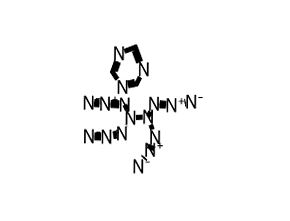 [N-]=[N+]=NN(N=[N+]=[N-])N(N=[N+]=[N-])N=[N+]=[N-].c1ncncn1